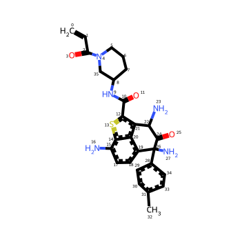 C=CC(=O)N1CCCC(NC(=O)c2sc3c(N)ccc4c3c2C(N)C(=O)C4(N)c2ccc(C)cc2)C1